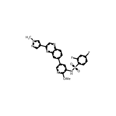 COc1ncc(-c2ccc3ncc(-c4cnn(C)c4)nc3c2)cc1NS(=O)(=O)c1ccc(F)cc1F